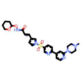 CN1CCN(c2cc(-c3ccc(S(=O)(=O)n4ccc(/C=C/C(=O)NOC5CCCCO5)c4)cn3)ccn2)CC1